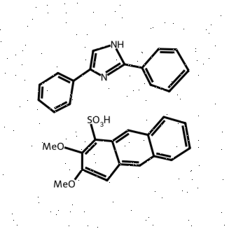 COc1cc2cc3ccccc3cc2c(S(=O)(=O)O)c1OC.c1ccc(-c2c[nH]c(-c3ccccc3)n2)cc1